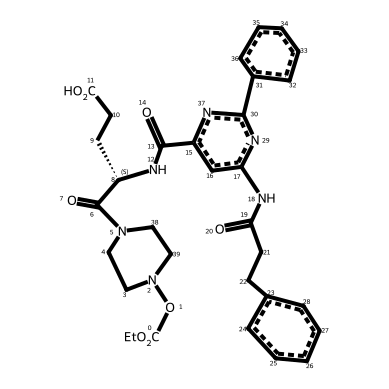 CCOC(=O)ON1CCN(C(=O)[C@H](CCC(=O)O)NC(=O)c2cc(NC(=O)CCc3ccccc3)nc(-c3ccccc3)n2)CC1